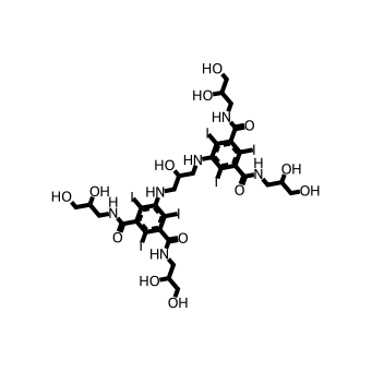 O=C(NCC(O)CO)c1c(I)c(NCC(O)CNc2c(I)c(C(=O)NCC(O)CO)c(I)c(C(=O)NCC(O)CO)c2I)c(I)c(C(=O)NCC(O)CO)c1I